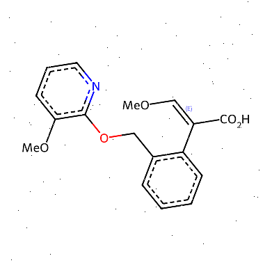 CO/C=C(/C(=O)O)c1ccccc1COc1ncccc1OC